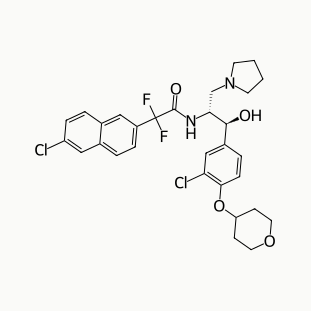 O=C(N[C@H](CN1CCCC1)[C@@H](O)c1ccc(OC2CCOCC2)c(Cl)c1)C(F)(F)c1ccc2cc(Cl)ccc2c1